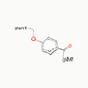 CCCC(C)COc1ccc(C(=O)OC)cc1